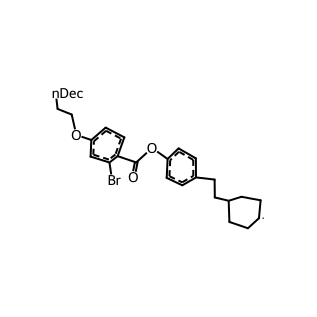 CCCCCCCCCCCCOc1ccc(C(=O)Oc2ccc(CCC3CC[CH]CC3)cc2)c(Br)c1